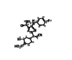 CCC1CC([C@H](CC#N)n2cc(C(N)=O)c(Nc3ccc(F)cc3)n2)CCN1C(=O)O